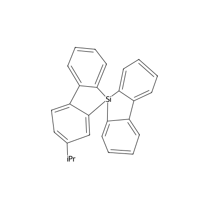 CC(C)c1ccc2c(c1)[Si]1(c3ccccc3-c3ccccc31)c1ccccc1-2